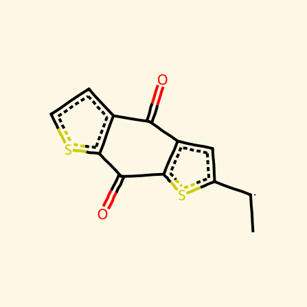 C[CH]c1cc2c(s1)C(=O)c1sccc1C2=O